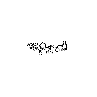 N=C(NC(=O)Cc1ncc[nH]1)C1CCC2CN1C(=O)N2OS(=O)(=O)O